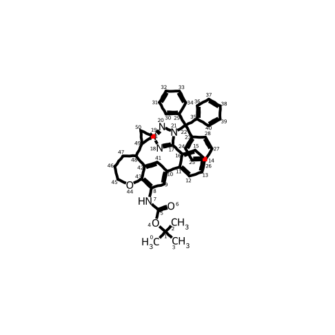 CC(C)(C)OC(=O)Nc1cc(-c2ccccc2-c2nnnn2C(c2ccccc2)(c2ccccc2)c2ccccc2)cc2c1OCCCC2C1CC1